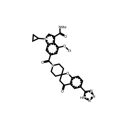 CCOc1cc(C(=O)N2CCC3(CC2)CC(=O)c2cc(-c4nnn[nH]4)ccc2O3)cc2c1c(C(=O)NC)cn2C1CC1